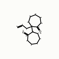 C=CCC1(C2CCCCCC2=O)CCCCCC1=O